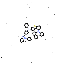 c1ccc(N(c2ccc(-c3nc4ccccc4n3-c3ccccc3)cc2)c2ccc3c(c2)sc2cccc(N(c4ccccc4)c4cccc5ccccc45)c23)cc1